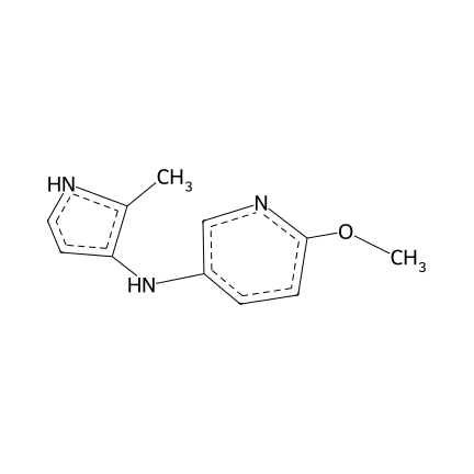 COc1ccc(Nc2cc[nH]c2C)cn1